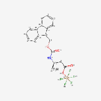 O=C(C[C@H](NC(=O)OCC1c2ccccc2-c2ccccc21)C(=O)O)OS(F)(F)(F)(F)F